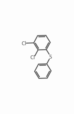 Clc1cccc(Sc2ccccc2)c1Cl